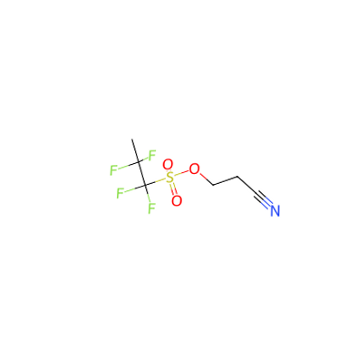 CC(F)(F)C(F)(F)S(=O)(=O)OCCC#N